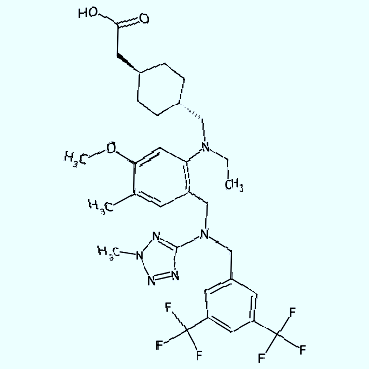 CCN(C[C@H]1CC[C@H](CC(=O)O)CC1)c1cc(OC)c(C)cc1CN(Cc1cc(C(F)(F)F)cc(C(F)(F)F)c1)c1nnn(C)n1